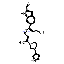 CC/C=C(/N=C\C=C(/C)N1CCC(c2cn[nH]c2)C1)c1ccc2cc(C=O)[nH]c2c1